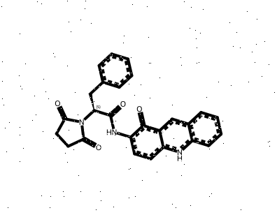 O=C(Nc1ccc2[nH]c3ccccc3cc-2c1=O)[C@H](Cc1ccccc1)N1C(=O)CCC1=O